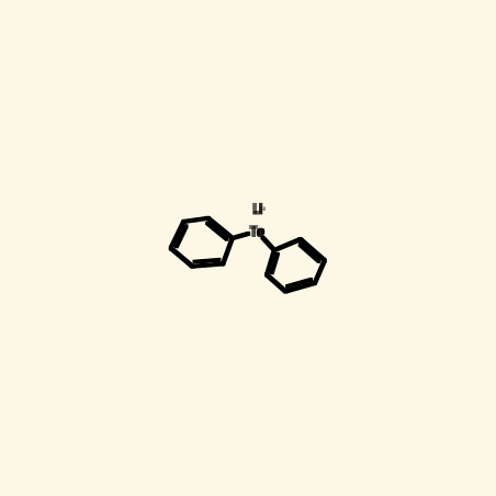 [Li].c1ccc([Te]c2ccccc2)cc1